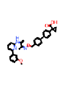 C=C(Nc1cccc(-c2cccc(OC)c2)n1)/C(C)=N\OCc1ccc(-c2ccc(C3(C(=O)O)CC3)cc2)cc1